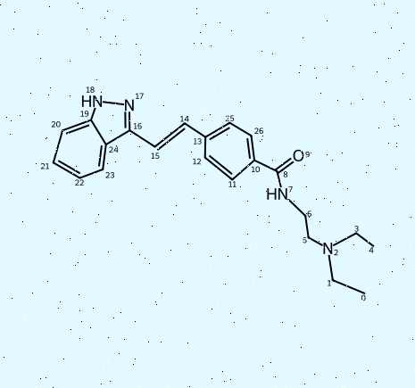 CCN(CC)CCNC(=O)c1ccc(C=Cc2n[nH]c3ccccc23)cc1